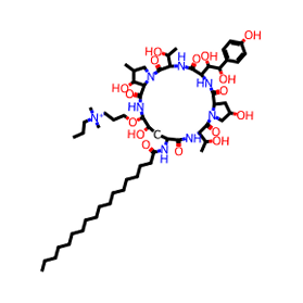 CCCCCCCCCCCCCCCCCC(=O)NC1CC(O)C(OCCC[N+](C)(C)CCC)NC(=O)C2C(O)C(C)CN2C(=O)C(C(C)O)NC(=O)C(C(O)C(O)c2ccc(O)cc2)NC(=O)C2CC(O)CN2C(=O)C(C(C)O)NC1=O